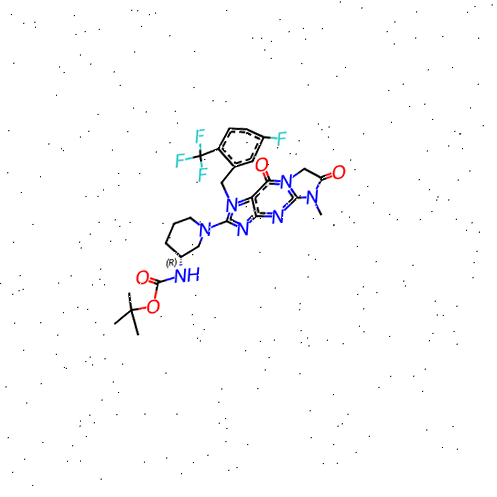 CN1C(=O)Cn2c1nc1nc(N3CCC[C@@H](NC(=O)OC(C)(C)C)C3)n(Cc3cc(F)ccc3C(F)(F)F)c1c2=O